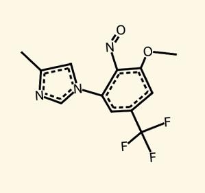 COc1cc(C(F)(F)F)cc(-n2cnc(C)c2)c1N=O